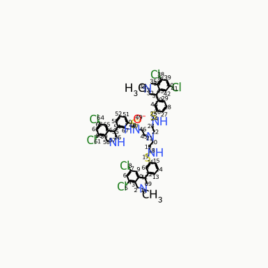 CN1Cc2c(Cl)cc(Cl)cc2C(c2cccc(SNCCN(CCNSc3cccc(C4CN(C)Cc5c(Cl)cc(Cl)cc54)c3)CCN[S+]([O-])c3cccc(C4CNCc5c(Cl)cc(Cl)cc54)c3)c2)C1